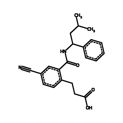 CC(C)CC(NC(=O)c1cc(C#N)ccc1CCC(=O)O)c1ccccc1